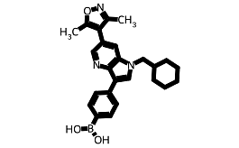 Cc1noc(C)c1-c1cnc2c(-c3ccc(B(O)O)cc3)cn(CC3CCCCC3)c2c1